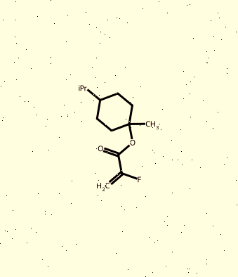 C=C(F)C(=O)OC1(C)CCC(C(C)C)CC1